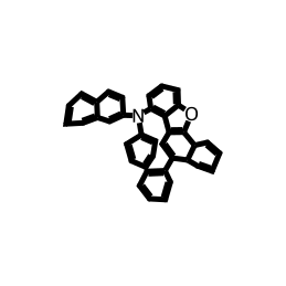 C1=CC2C(c3ccccc3)=Cc3c(oc4cccc(N(c5ccccc5)c5ccc6ccccc6c5)c34)C2C=C1